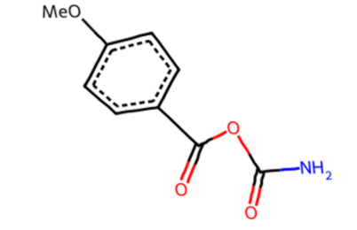 COc1ccc(C(=O)OC(N)=O)cc1